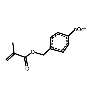 C=C(C)C(=O)OCc1ccc(CCCCCCCC)cc1